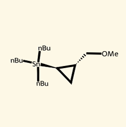 CCC[CH2][Sn]([CH2]CCC)([CH2]CCC)[C@@H]1C[C@H]1COC